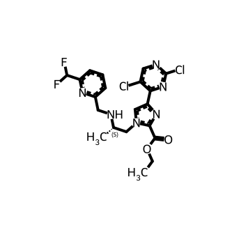 CCOC(=O)c1nc(-c2nc(Cl)ncc2Cl)cn1C[C@H](C)NCc1cccc(C(F)F)n1